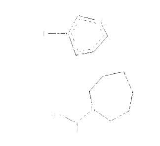 CNN1CCCC[C@@H](c2cncc(F)c2)C1